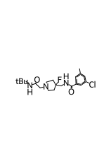 Cc1cc(Cl)cc(C(=O)NCC2(F)CCN(CC(=O)NC(C)(C)C)CC2)c1